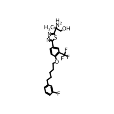 C[C@](N)(CO)c1nnc(-c2ccc(OCCCCCc3cccc(F)c3)c(C(F)(F)F)c2)s1